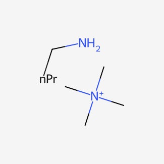 CCCCN.C[N+](C)(C)C